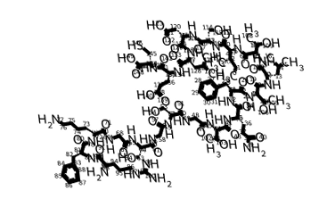 CC[C@H](C)[C@H](NC(=O)[C@@H](NC(=O)[C@H](CC(C)C)NC(=O)[C@@H](NC(=O)[C@H](Cc1ccccc1)NC(=O)[C@H](CCC(N)=O)NC(=O)[C@@H](NC(=O)CNC(=O)[C@H](CO)NC(=O)CNC(=O)[C@H](CO)NC(=O)CNC(=O)[C@H](CCCCN)NC(=O)[C@H](Cc1ccccc1)NC(=O)[C@@H](N)CCCNC(=N)N)[C@@H](C)O)[C@@H](C)O)[C@@H](C)O)C(=O)N[C@@H](CO)C(=O)N[C@@H](CC(=O)O)C(=O)N[C@@H](CC(C)C)C(=O)N[C@@H](CCC(=O)O)C(=O)N[C@@H](CS)C(=O)O